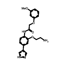 COc1cccc(OCC(=O)Nc2ccc(-c3cn[nH]c3)cc2OCCN)c1